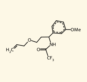 C=CCOCCC(NC(=O)C(F)(F)F)c1cccc(OC)c1